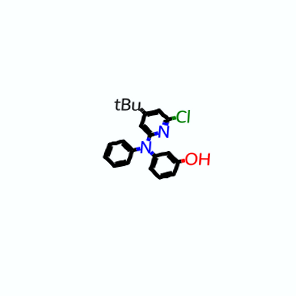 CC(C)(C)c1cc(Cl)nc(N(c2ccccc2)c2cccc(O)c2)c1